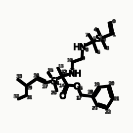 C=C[Si](C)(C)C(C)(C)NCCNC(C)(C(=O)OCc1ccccc1)[Si](C)(C)/C=C/C(C)CC